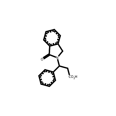 O=C(O)CC(c1ccccc1)N1Cc2ccccc2C1=O